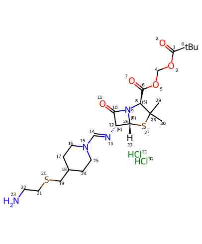 CC(C)(C)C(=O)OCOC(=O)[C@@H]1N2C(=O)[C@@H](N=CN3CCC(CSCCN)CC3)[C@H]2SC1(C)C.Cl.Cl